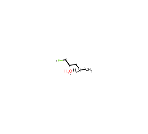 C[SiH2]CCCF.O